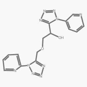 OC(COCc1nnnn1-c1ccccn1)c1nnnn1-c1cccnc1